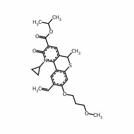 C=Cc1cc2c(cc1OCCCOC)SC(C)c1cc(C(=O)OC(C)C)c(=O)n(C3CC3)c1-2